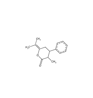 CC(C)=C1CC(c2ccccc2)C(C)C(=O)O1